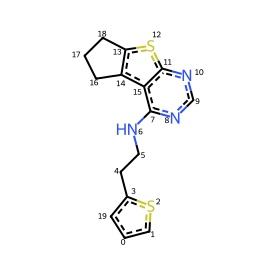 c1csc(CCNc2ncnc3sc4c(c23)CCC4)c1